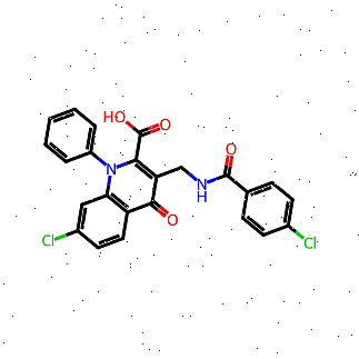 O=C(NCc1c(C(=O)O)n(-c2ccccc2)c2cc(Cl)ccc2c1=O)c1ccc(Cl)cc1